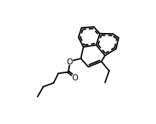 CCCCC(=O)OC1C=C(CC)c2cccc3cccc1c23